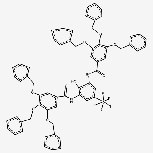 O=C(Nc1cc(S(F)(F)(F)(F)F)cc(NC(=O)c2cc(OCc3ccccc3)c(OCc3ccccc3)c(OCc3ccccc3)c2)c1O)c1cc(OCc2ccccc2)c(OCc2ccccc2)c(OCc2ccccc2)c1